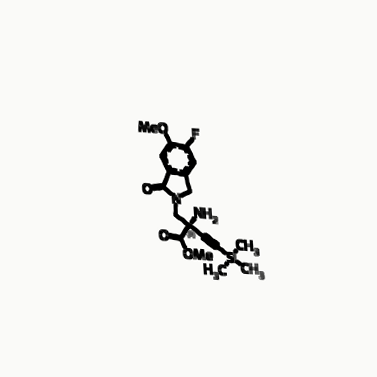 COC(=O)[C@@](N)(C#C[Si](C)(C)C)CN1Cc2cc(F)c(OC)cc2C1=O